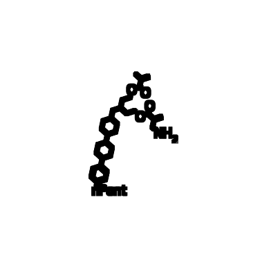 C=C(C)C(=O)OCCC(CCOC(=O)C(=C)CN)CC1CCC(C2CCC(c3ccc(CCCCC)cc3)CC2)CC1